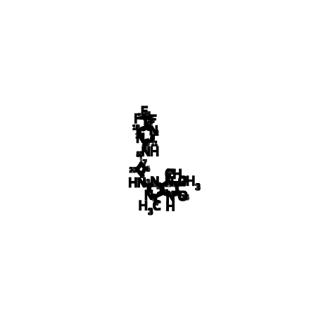 Cc1nc(N[C@H]2C[C@@H](CNc3cnc(C(F)(F)F)cn3)C2)nc2c1NC(=O)[C@H](C)N2C